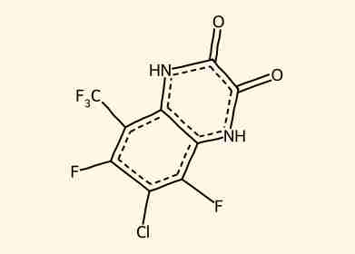 O=c1[nH]c2c(F)c(Cl)c(F)c(C(F)(F)F)c2[nH]c1=O